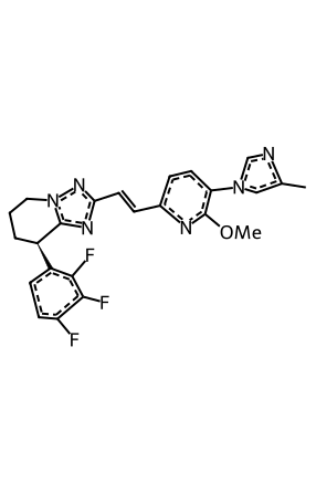 COc1nc(/C=C/c2nc3n(n2)CCC[C@@H]3c2ccc(F)c(F)c2F)ccc1-n1cnc(C)c1